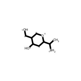 BC(C)C1CC(O)C(CO)CO1